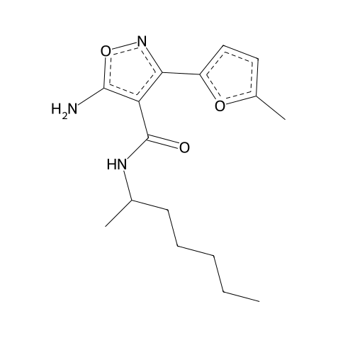 CCCCCC(C)NC(=O)c1c(-c2ccc(C)o2)noc1N